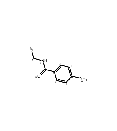 Nc1ccc(C(=O)N[CH2][Sn])cc1